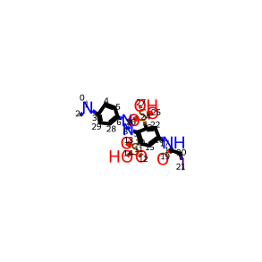 CN(C)c1ccc(N=Nc2c(S(=O)(=O)O)cc(NC(=O)CI)cc2S(=O)(=O)O)cc1